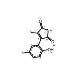 CC1=C(c2cc(C)ccc2O)C(=O)NC1=O